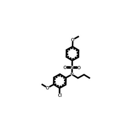 CCCN(c1ccc(OC)c(Cl)c1)S(=O)(=O)c1ccc(OC)cc1